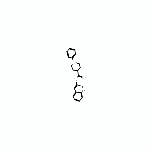 O=C(Nc1cc2ccccc2nn1)C1CCN(c2ccccc2)CC1